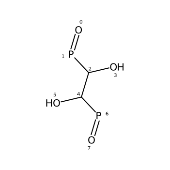 O=PC(O)C(O)P=O